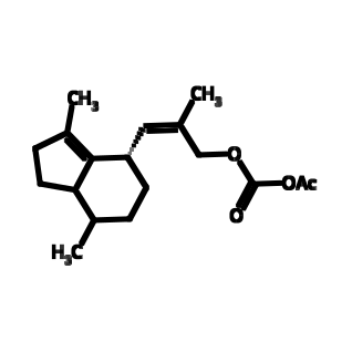 CC(=O)OC(=O)OC/C(C)=C\[C@@H]1CCC(C)C2CCC(C)=C21